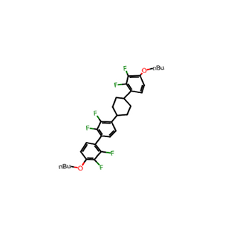 CCCCOc1ccc(-c2ccc(C3CCC(c4ccc(OCCCC)c(F)c4F)CC3)c(F)c2F)c(F)c1F